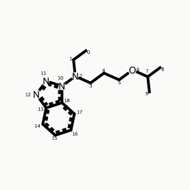 CCN(CCCOC(C)C)n1nnc2ccccc21